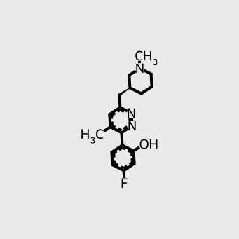 Cc1cc(C[C@@H]2CCCN(C)C2)nnc1-c1ccc(F)cc1O